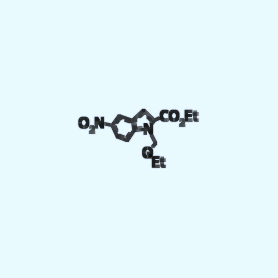 CCOCn1c(C(=O)OCC)cc2cc([N+](=O)[O-])ccc21